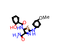 COc1ccc(Nc2nc(C(N)=O)c(NC(=O)c3ccccc3O)s2)cc1